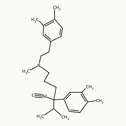 [C-]#[N+]C(CCCN(C)CCc1ccc(C)c(C)c1)(c1ccc(C)c(C)c1)C(C)C